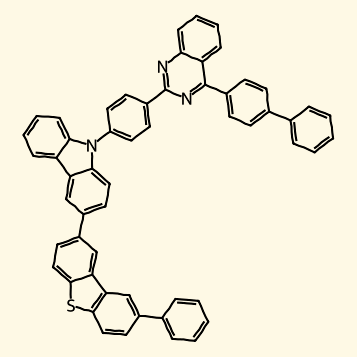 c1ccc(-c2ccc(-c3nc(-c4ccc(-n5c6ccccc6c6cc(-c7ccc8sc9ccc(-c%10ccccc%10)cc9c8c7)ccc65)cc4)nc4ccccc34)cc2)cc1